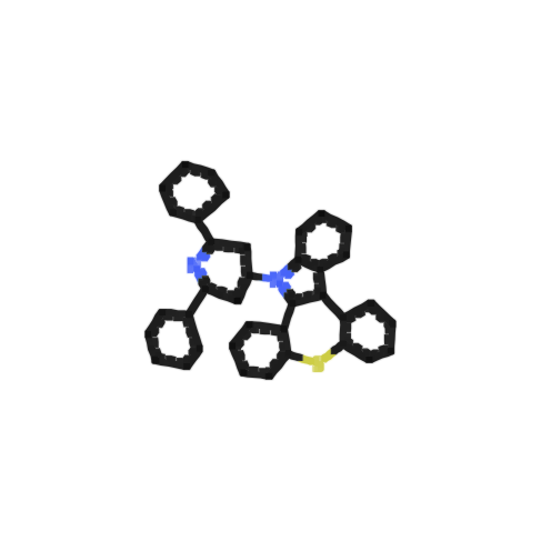 c1ccc(-c2cc(-n3c4c(c5ccccc53)-c3ccccc3Sc3ccccc3-4)cc(-c3ccccc3)n2)cc1